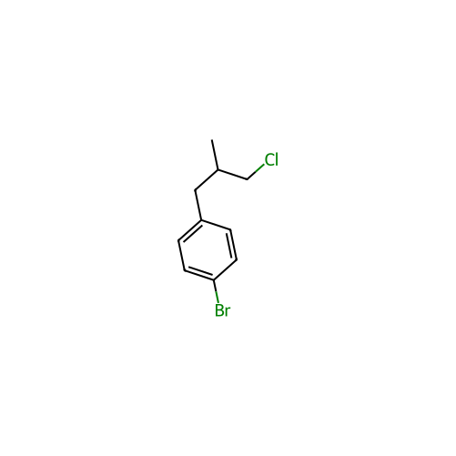 CC(CCl)Cc1ccc(Br)cc1